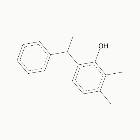 Cc1ccc(C(C)c2ccccc2)c(O)c1C